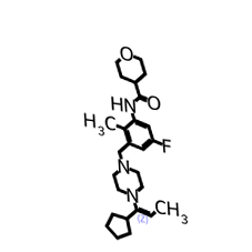 C/C=C(/C1CCCC1)N1CCN(Cc2cc(F)cc(NC(=O)C3CCOCC3)c2C)CC1